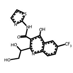 O=C(Nc1nccs1)c1c(C(O)CO)nc2ccc(C(F)(F)F)cc2c1O